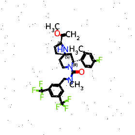 C=C(OC)[C@@H]1CC[C@@]2(CCN(C(=O)N(C)Cc3cc(C(F)(F)F)cc(C(F)(F)F)c3)[C@@H](c3ccc(F)cc3C)C2)N1